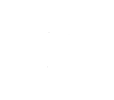 FC1(F)COCO1